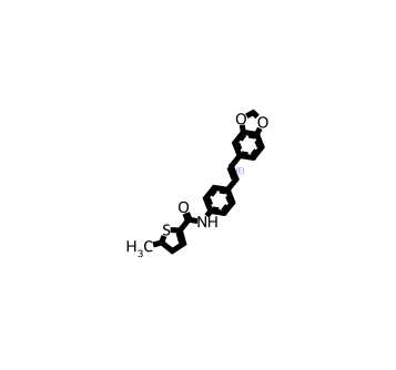 CC1CC=C(C(=O)Nc2ccc(/C=C/c3ccc4c(c3)OCO4)cc2)S1